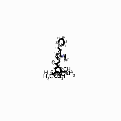 CC(C)(C)c1cc(C(=O)Cn2ncn(CCN3CCCCC3)/c2=N/Br)cc(C(C)(C)C)c1O